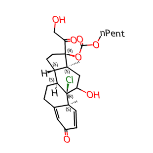 CCCCCOC(=O)O[C@]1(C(=O)CO)CC[C@H]2[C@@H]3CCC4=CC(=O)C=C[C@]4(C)[C@@]3(Cl)C(O)C[C@@]21C